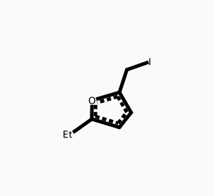 CCc1ccc(CI)o1